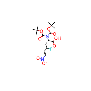 CC(C)(C)OC(=O)N(C(=O)OC(C)(C)C)[C@@H](CC(F)/C=C/[N+](=O)[O-])C(=O)O